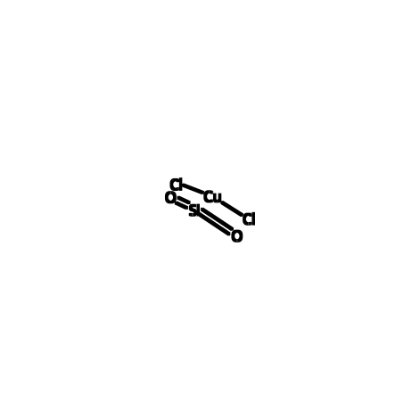 O=[Si]=O.[Cl][Cu][Cl]